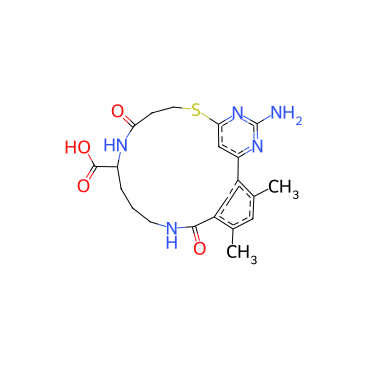 Cc1cc(C)c2cc1C(=O)NCCCC(C(=O)O)NC(=O)CCSc1cc-2nc(N)n1